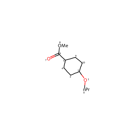 CCCOC1CCC(C(=O)OC)CC1